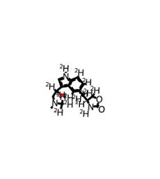 [2H]c1c(C([2H])([2H])[C@]2([2H])N([2H])C(=O)OC2([2H])[2H])c([2H])c2c(C([2H])([2H])CN(C)C([2H])([2H])[2H])cn([2H])c2c1[2H]